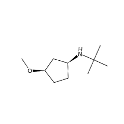 CO[C@@H]1CC[C@H](NC(C)(C)C)C1